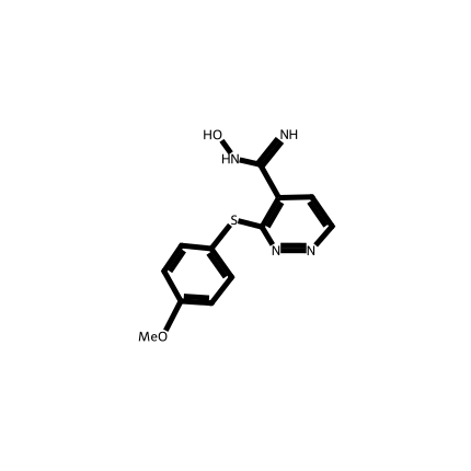 COc1ccc(Sc2nnccc2C(=N)NO)cc1